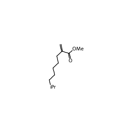 C=C(CCCCCC(C)C)C(=O)OC